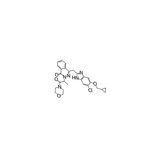 CC(C(=O)N1CCOCC1)n1nc(Cc2nc3cc(OCC4CC4)c(Cl)cc3[nH]2)c2ccccc2c1=O